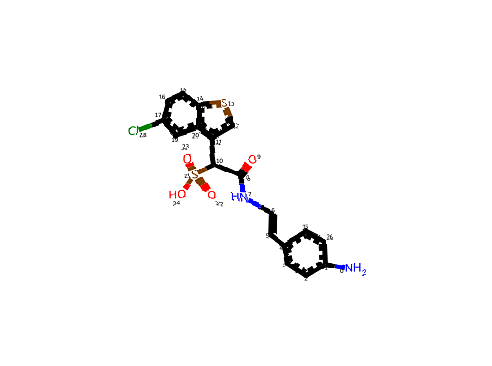 Nc1ccc(/C=C/NC(=O)C(c2csc3ccc(Cl)cc23)S(=O)(=O)O)cc1